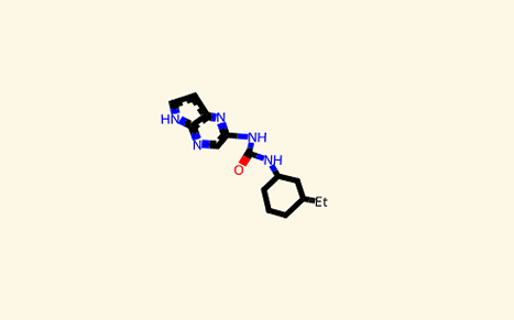 CCC1CCCC(NC(=O)Nc2cnc3[nH]ccc3n2)C1